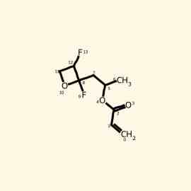 C=CC(=O)OC(C)CC1(F)OCC1F